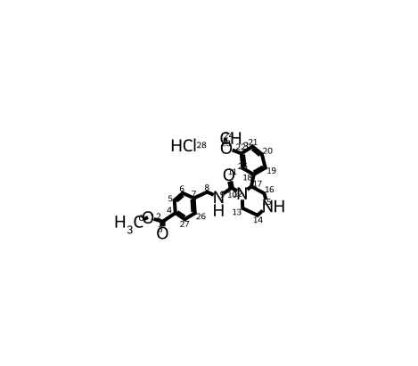 COC(=O)c1ccc(CNC(=O)N2CCNCC2c2cccc(OC)c2)cc1.Cl